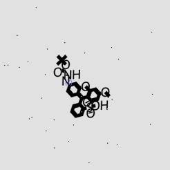 COc1ccc2c(-c3ccccc3S(=O)(=O)O)c3cc/c(=N/NC(=O)OC(C)(C)C)cc-3oc2c1